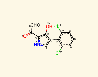 O=CC(=O)c1[nH]cc(-c2c(Cl)cccc2Cl)c1O